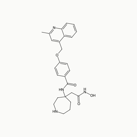 Cc1cc(COc2ccc(C(=O)NC3(CC(=O)NO)CCCNCC3)cc2)c2ccccc2n1